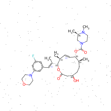 C/C(=C\c1cc(F)cc(N2CCOCC2)c1)[C@H]1OC(=O)C[C@H](O)CC[C@H](C)[C@@H](OC(=O)N2CCN(C)[C@H](C)C2)/C=C/[C@@H]1C